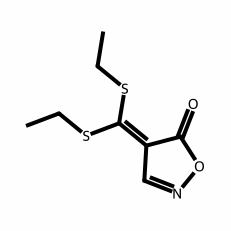 CCSC(SCC)=C1C=NOC1=O